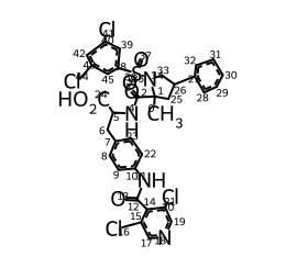 CC1(C(=O)NC(Cc2ccc(NC(=O)c3c(Cl)cncc3Cl)cc2)C(=O)O)CC(c2ccccc2)CN1S(=O)(=O)c1cc(Cl)cc(Cl)c1